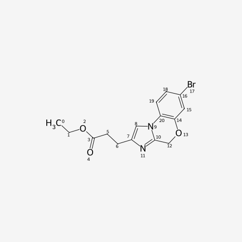 CCOC(=O)CCc1cn2c(n1)COc1cc(Br)ccc1-2